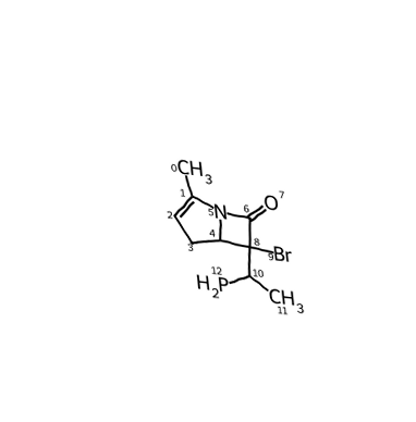 CC1=CCC2N1C(=O)C2(Br)C(C)P